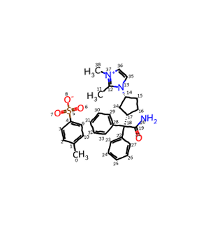 Cc1ccc(S(=O)(=O)[O-])cc1.Cc1n([C@@H]2CC[C@H](C(C(N)=O)(c3ccccc3)c3ccccc3)C2)cc[n+]1C